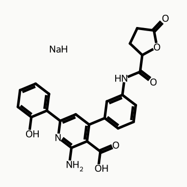 Nc1nc(-c2ccccc2O)cc(-c2cccc(NC(=O)C3CCC(=O)O3)c2)c1C(=O)O.[NaH]